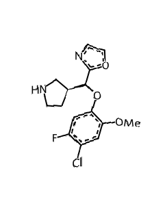 COc1cc(Cl)c(F)cc1OC(c1ncco1)[C@H]1CCNC1